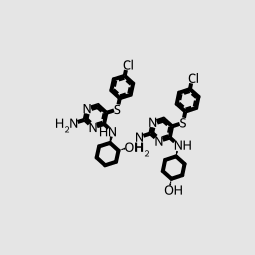 Nc1ncc(Sc2ccc(Cl)cc2)c(N[C@@H]2CCCC[C@H]2O)n1.Nc1ncc(Sc2ccc(Cl)cc2)c(N[C@H]2CC[C@@H](O)CC2)n1